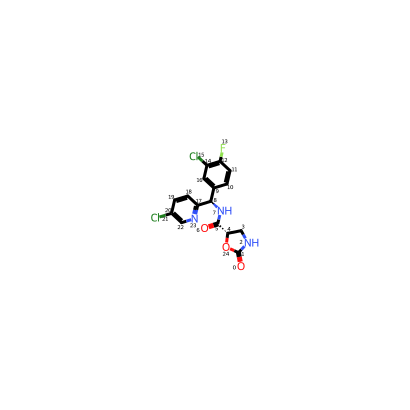 O=C1NC[C@@H](C(=O)N[C@H](c2ccc(F)c(Cl)c2)c2ccc(Cl)cn2)O1